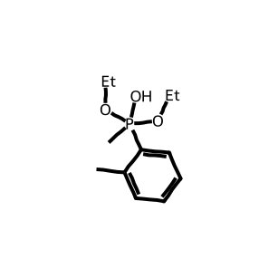 CCOP(C)(O)(OCC)c1ccccc1C